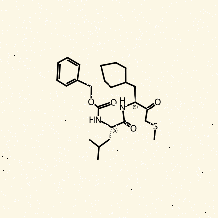 CSCC(=O)[C@H](CC1CCCCC1)NC(=O)[C@H](CC(C)C)NC(=O)OCc1ccccc1